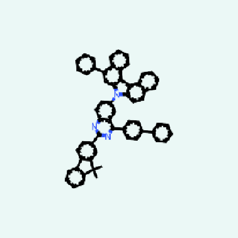 CC1(C)c2ccccc2-c2ccc(-c3nc(-c4ccc(-c5ccccc5)cc4)c4cc(-n5c6ccc7ccccc7c6c6c7ccccc7c(-c7ccccc7)cc65)ccc4n3)cc21